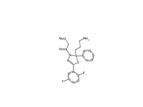 COCC(=O)N1N=C(c2cc(F)ccc2F)SC1(CCCN)c1ccccc1